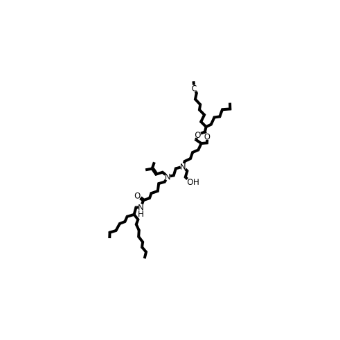 CCCCCCCCC(CCCCCC)CNC(=O)CCCCCN(CC=C(C)C)CCN(CCO)CCCCC1COC(C(CCCCCC)CCCCCCCC)OC1